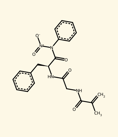 C=C(C)C(=O)NCC(=O)N[C@@H](Cc1ccccc1)C(=O)N(c1ccccc1)[N+](=O)[O-]